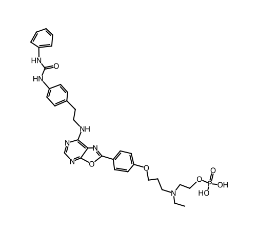 CCN(CCCOc1ccc(-c2nc3c(NCCc4ccc(NC(=O)Nc5ccccc5)cc4)ncnc3o2)cc1)CCOP(=O)(O)O